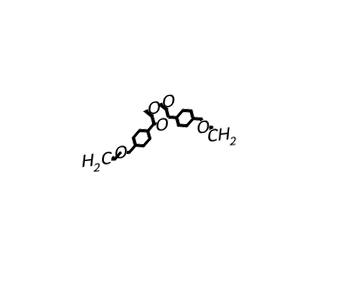 C=COCC1CCC(C(OC(C2CCC(COC=C)CC2)C2CO2)C2CO2)CC1